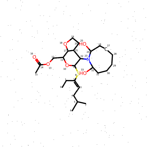 CC/C(=C\CC(C)C)SC1OC(COC(C)=O)C2OCCC2C1N1C(O)CCCCCCC1O